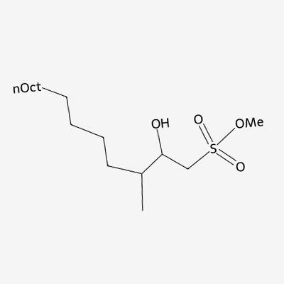 CCCCCCCCCCCCC(C)C(O)CS(=O)(=O)OC